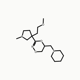 COCCC1(C2=NOCC(CN3CCCCC3)O2)CCN(C)C1